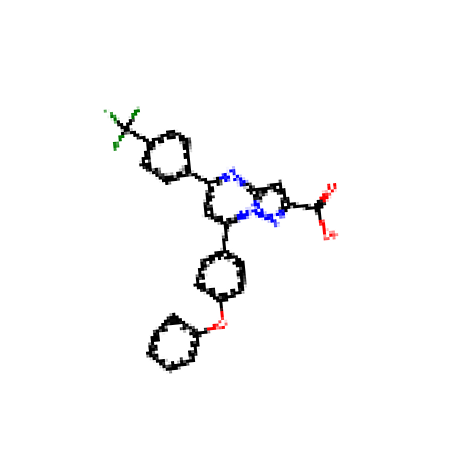 O=C(O)c1cc2nc(-c3ccc(C(F)(F)F)cc3)cc(-c3ccc(Oc4ccccc4)cc3)n2n1